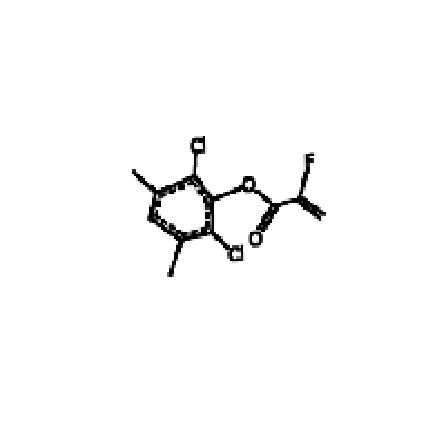 C=C(F)C(=O)Oc1c(Cl)c(C)cc(C)c1Cl